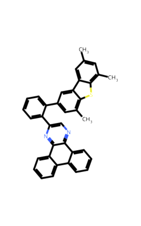 Cc1cc(C)c2sc3c(C)cc(-c4ccccc4-c4cnc5c6ccccc6c6ccccc6c5n4)cc3c2c1